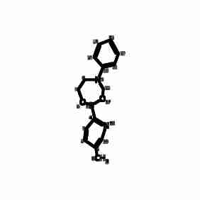 Cc1ccc(B2OCCN(c3ccccc3)CO2)nc1